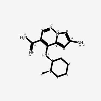 C[C@@H]1CCCC[C@@H]1Nc1c(C(=N)N)cnn2cc(N)cc12